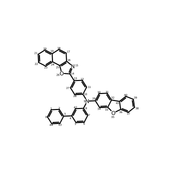 c1ccc(-c2cccc(N(c3ccc(-c4nc5ccc6ccccc6c5o4)cc3)c3ccc4c(c3)oc3ccccc34)c2)cc1